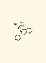 CCC(N)(O)Nc1nc(-c2ccncc2)nc2cnccc12